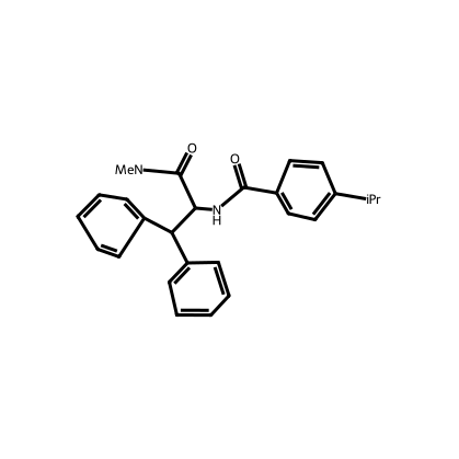 CNC(=O)C(NC(=O)c1ccc(C(C)C)cc1)C(c1ccccc1)c1ccccc1